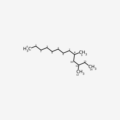 CCCCCCCCC(C)[CH]C(C)CC